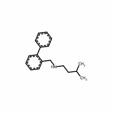 CC(C)CCNCc1ccccc1-c1ccccc1